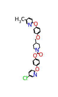 Cc1ccc(Oc2ccc(OCC3CCN(C(=O)Oc4ccc(Oc5ccc(Cl)cn5)cc4)CC3)cc2)nc1